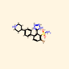 NS(=O)(=O)c1c(Br)ccc(-c2ccc(C3CCNCC3)cc2)c1-c1nnn[nH]1